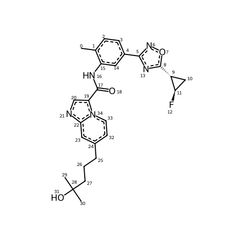 Cc1ccc(-c2noc([C@@H]3C[C@H]3F)n2)cc1NC(=O)c1cnc2cc(CCCC(C)(C)O)ccn12